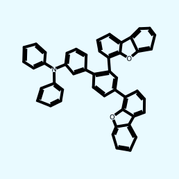 c1ccc(N(c2ccccc2)c2cccc(-c3ccc(-c4cccc5c4oc4ccccc45)cc3-c3cccc4c3oc3ccccc34)c2)cc1